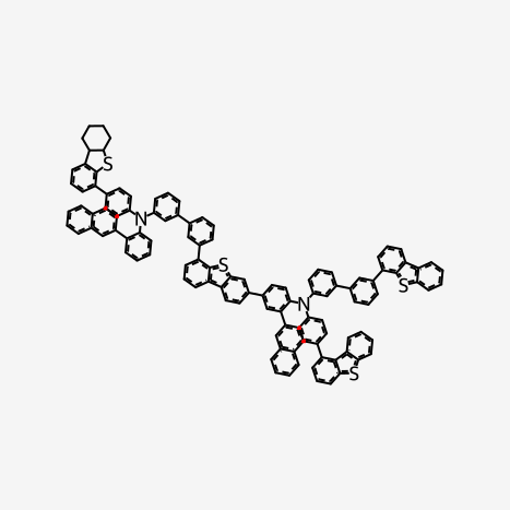 c1cc(-c2cccc(N(c3ccc(-c4cccc5sc6ccccc6c45)cc3)c3ccc(-c4ccc5c(c4)sc4c(-c6cccc(-c7cccc(N(c8ccc(-c9cccc%10c9SC9CCCCC%109)cc8)c8ccccc8-c8ccc9ccccc9c8)c7)c6)cccc45)cc3-c3ccc4ccccc4c3)c2)cc(-c2cccc3c2sc2ccccc23)c1